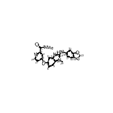 CNC(=O)c1cc(Oc2ccc3c(c2)nc(Nc2ccc4c(c2)OCO4)n3C)ccn1